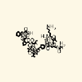 CC[C@H](C)[C@@H]([C@@H](CC(=O)C1CCC[C@H]1[C@H](OC)[C@@H](C)C(=O)N[C@@H](Cc1ccccc1)C(=O)O)OC)N(C)C(=O)[C@@H](NC(=O)C(C(C)C)N(C)C(=O)OCc1ccc(NC(=O)C(CCCNC(N)=O)NC(=O)C(NC(=O)C(N)CCCCN)C(C)C)cc1)C(C)C